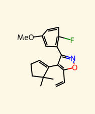 C=Cc1onc(-c2cc(OC)ccc2F)c1C1=CCCC1(C)C